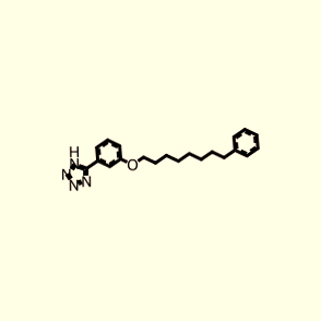 c1ccc(CCCCCCCCOc2cccc(-c3nnn[nH]3)c2)cc1